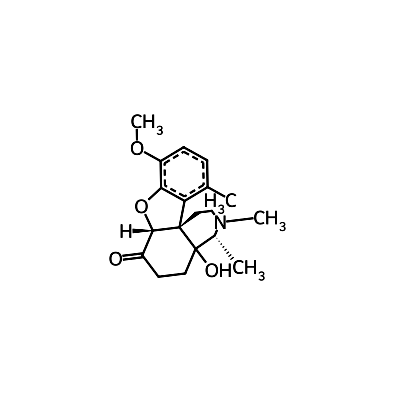 COc1ccc(C)c2c1O[C@H]1C(=O)CCC3(O)[C@@H](C)N(C)CC[C@]213